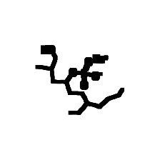 CCCCC(CC)CCC(CC(C)CO)OS(=O)(=O)[O-].[Na+]